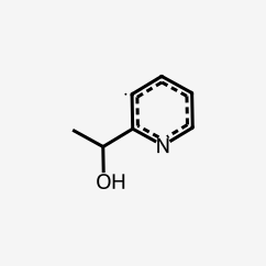 CC(O)c1[c]cccn1